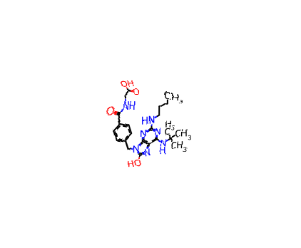 CCCCNc1nc(NC(C)(C)C)c2nc(O)n(Cc3ccc(C(=O)NCC(=O)O)cc3)c2n1